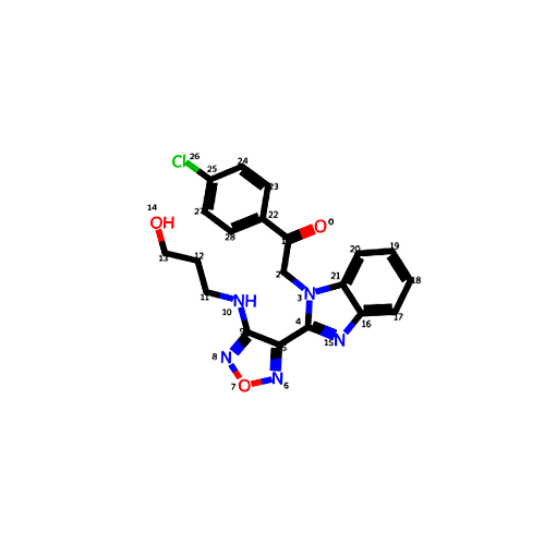 O=C(Cn1c(-c2nonc2NCCCO)nc2ccccc21)c1ccc(Cl)cc1